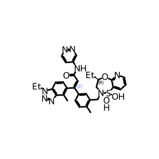 CC[C@@H]1CN(Cc2cc(/C(=C/C(=O)Nc3ccnnc3)c3ccc4c(nnn4CC)c3C)ccc2C)S(O)(O)c2cccnc2O1